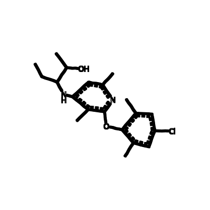 CCC(Nc1cc(C)nc(Oc2c(C)cc(Cl)cc2C)c1C)C(C)O